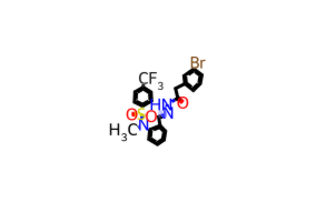 CN(c1ccccc1/C=N/NC(=O)Cc1cccc(Br)c1)S(=O)(=O)c1ccc(C(F)(F)F)cc1